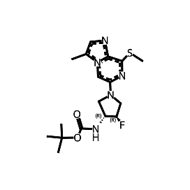 CSc1nc(N2C[C@@H](F)[C@H](NC(=O)OC(C)(C)C)C2)cn2c(C)cnc12